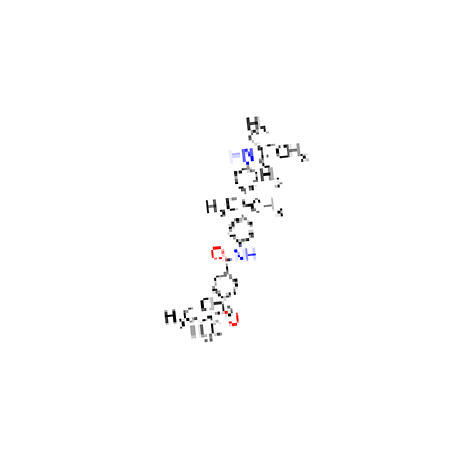 CCC(C)(C)Nc1ccc(C(C)(C)c2ccc(NC(=O)c3ccc(C(=O)C(C)(C)CC)cc3)cc2)cc1